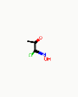 CC(=O)/C(Cl)=N/O